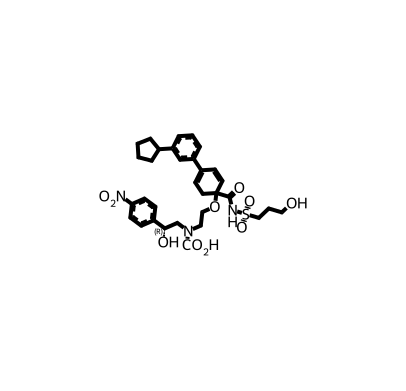 O=C(O)N(CCOC1(C(=O)NS(=O)(=O)CCCO)C=CC(c2cccc(C3CCCC3)c2)=CC1)C[C@H](O)c1ccc([N+](=O)[O-])cc1